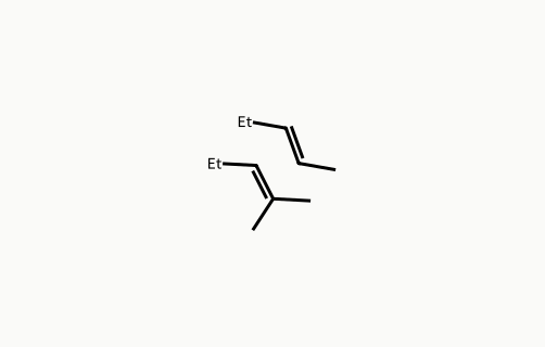 CC=CCC.CCC=C(C)C